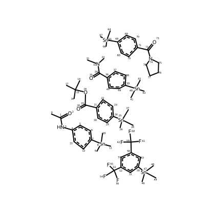 CC(=O)Nc1cc[c]([Sn]([CH3])([CH3])[CH3])cc1.CC(C)(C)OC(=O)c1cc[c]([Sn]([CH3])([CH3])[CH3])cc1.CN(C)C(=O)c1cc[c]([Sn]([CH3])([CH3])[CH3])cc1.[CH3][Sn]([CH3])([CH3])[c]1cc(C(F)(F)F)cc(C(F)(F)F)c1.[CH3][Sn]([CH3])([CH3])[c]1ccc(C(=O)N2CCCC2)cc1